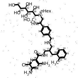 CCCCCCN(CC(NC(=O)O)c1ccc(CNCC(CNC(=O)c2nc(Cl)c(N)nc2N)Cc2ccccc2C)cc1)C[C@H](O)[C@@H](O)[C@H](O)[C@H](O)CO